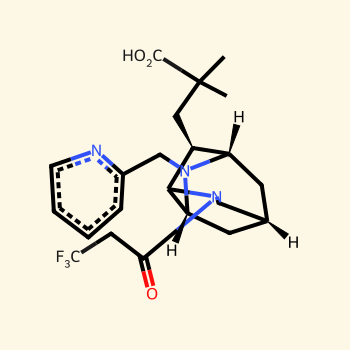 CC(C)(C[C@@H]1C2[C@H]3C[C@@H](C[C@@H]1N3Cc1ccccn1)CN2C(=O)CC(F)(F)F)C(=O)O